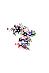 CC(C)OC(=O)c1cc(-n2c(=O)cc(C(F)(F)F)n(C)c2=O)ccc1Cl.CC1(C)OC(c2ccco2)CN1C(=O)C(Cl)Cl.CCc1cccc(CC)c1N(COC)C(=O)CCl.CP(=O)(O)CCC(N)C(=O)O